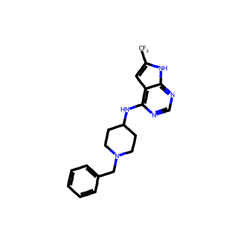 FC(F)(F)c1cc2c(NC3CCN(Cc4ccccc4)CC3)ncnc2[nH]1